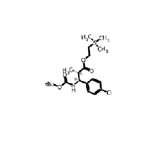 C[C@H](C(=O)OCCS(C)(C)C)[C@H](NC(=O)OC(C)(C)C)c1ccc(Cl)cc1